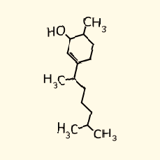 CC(C)CCCC(C)C1=CC(O)C(C)CC1